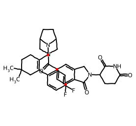 CC1(C)CCC(CN2C3CCC2CN(C(=O)c2cc(F)c4c(c2)CN(C2CCC(=O)NC2=O)C4=O)C3)=C(c2ccc(F)cc2)C1